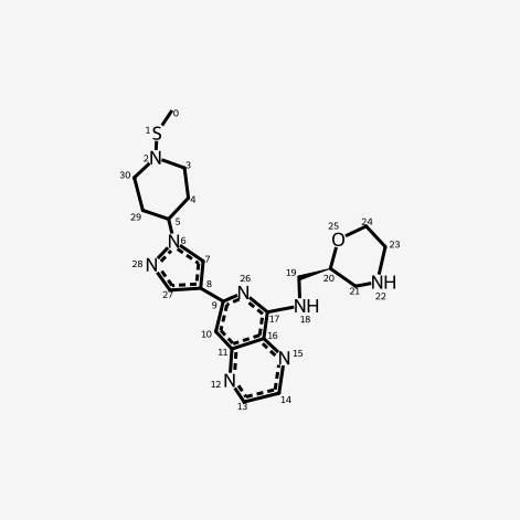 CSN1CCC(n2cc(-c3cc4nccnc4c(NC[C@@H]4CNCCO4)n3)cn2)CC1